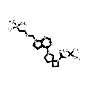 CC(C)(C)OC(=O)N1CCC12CCN(c1ncnc3c1ccn3COCC[Si](C)(C)C)C2